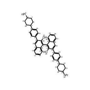 CCCC1CCC(c2ccc(-c3cc4ccccc4c(-c4c(O)c(-c5ccc(C6CCC(CCC)CC6)cc5)cc5ccccc45)c3O)cc2)CC1